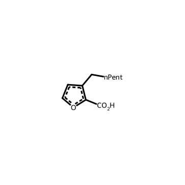 CCCCCCc1ccoc1C(=O)O